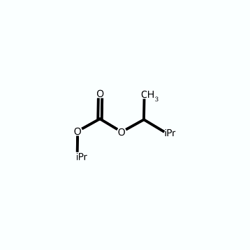 CC(C)OC(=O)OC(C)C(C)C